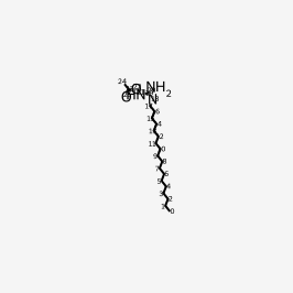 CCCCCCCCCCCCCCCCCCN=C(N)NOC(C)=O